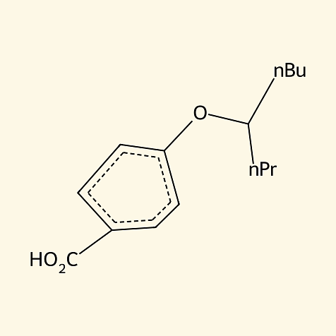 CCCCC(CCC)Oc1ccc(C(=O)O)cc1